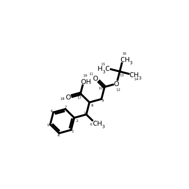 CC(c1ccccc1)C(CC(=O)OC(C)(C)C)C(=O)O